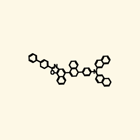 C1=CC2=C(CC1)C(c1cc3nc(C4=CC=C(c5ccccc5)CC4)oc3c3ccccc13)=CCC2c1ccc(N(c2ccc3c(c2)CCC=C3)c2ccc3ccccc3c2)cc1